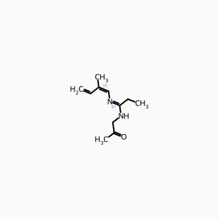 C=C/C(C)=C\N=C(/CC)NCC(C)=O